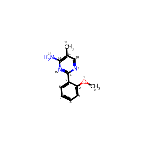 COc1ccccc1-c1ncc(C)c(N)n1